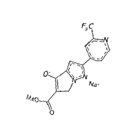 COC(=O)C1=C([O-])c2cc(-c3ccnc(C(F)(F)F)c3)nn2C1.[Na+]